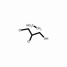 CC(=O)O.OCC(Cl)CCl